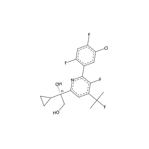 CC(C)(F)c1cc([C@@](O)(CO)C2CC2)nc(-c2cc(Cl)c(F)cc2F)c1F